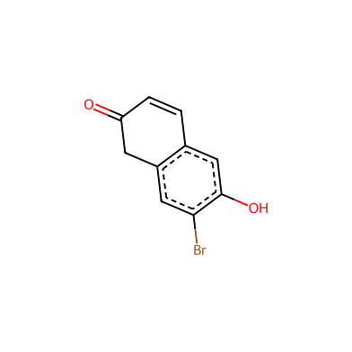 O=C1C=Cc2cc(O)c(Br)cc2C1